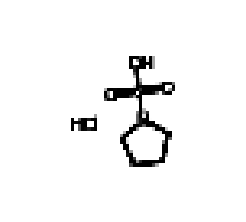 Cl.O=S(=O)(O)N1CCCC1